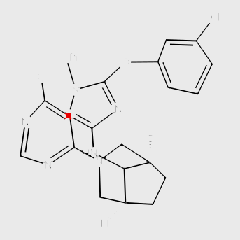 CCCn1nc(NC2[C@@H]3CC[C@H]2CN(c2cc(Cl)ncn2)C3)nc1Oc1cccc(Cl)c1